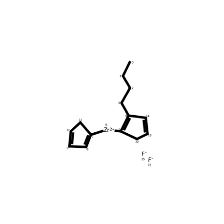 CCCCC1=[C]([Zr+2][C]2=CC=CC2)CC=C1.[F-].[F-]